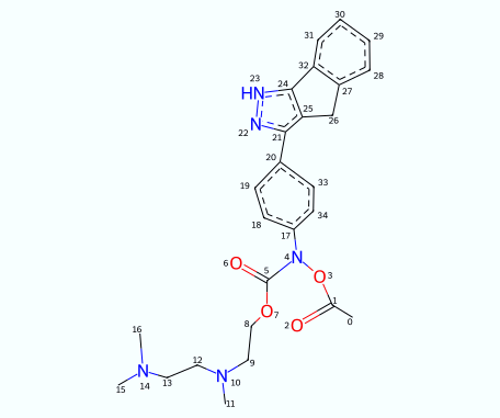 CC(=O)ON(C(=O)OCCN(C)CCN(C)C)c1ccc(-c2n[nH]c3c2Cc2ccccc2-3)cc1